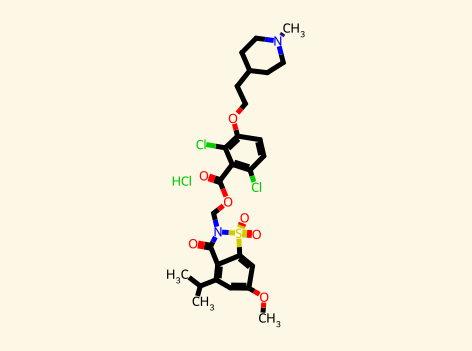 COc1cc(C(C)C)c2c(c1)S(=O)(=O)N(COC(=O)c1c(Cl)ccc(OCCC3CCN(C)CC3)c1Cl)C2=O.Cl